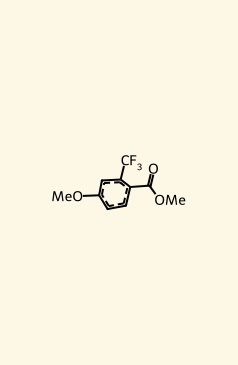 COC(=O)c1ccc(OC)cc1C(F)(F)F